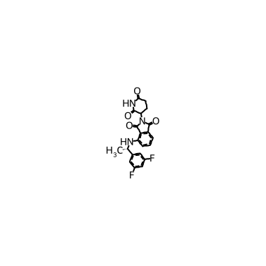 C[C@H](Nc1cccc2c1C(=O)N(C1CCC(=O)NC1=O)C2=O)c1cc(F)cc(F)c1